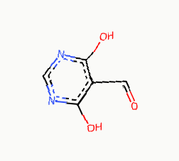 O=Cc1c(O)ncnc1O